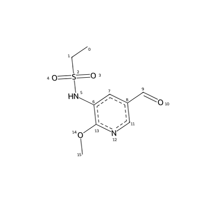 CCS(=O)(=O)Nc1cc(C=O)cnc1OC